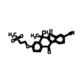 CC1(C)c2cc(OCCS(C)(=O)=O)ccc2C(=O)c2c1[nH]c1cc(C#N)ccc21